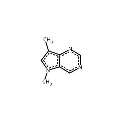 Cc1cn(C)c2cncnc12